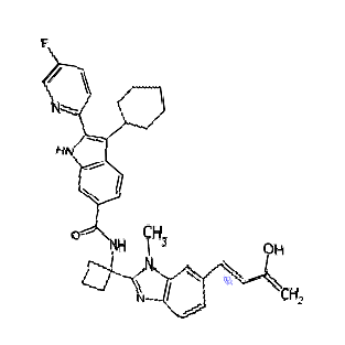 C=C(O)/C=C/c1ccc2nc(C3(NC(=O)c4ccc5c(C6CCCCC6)c(-c6ccc(F)cn6)[nH]c5c4)CCC3)n(C)c2c1